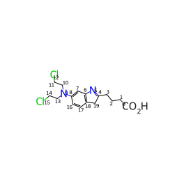 O=C(O)CCCC1=Nc2cc(N(CCCl)CCCl)ccc2C1